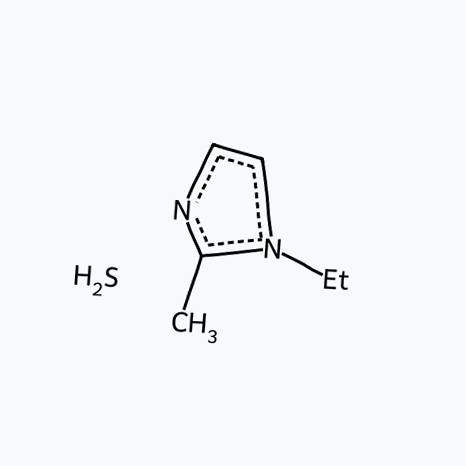 CCn1ccnc1C.S